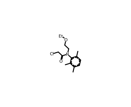 CCOCCN(C(=O)CCl)c1c(C)ccc(C)c1C